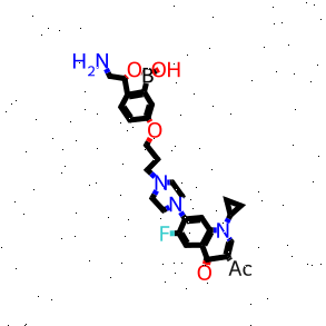 CC(=O)c1cn(C2CC2)c2cc(N3CCN(CCCOc4ccc5c(c4)B(O)OC5CN)CC3)c(F)cc2c1=O